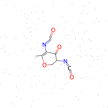 CC1=C(N=C=O)C(=O)C(N=C=O)CO1